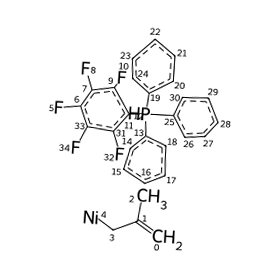 C=C(C)[CH2][Ni].Fc1c(F)c(F)c([PH](c2ccccc2)(c2ccccc2)c2ccccc2)c(F)c1F